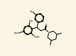 COc1cc(O)c(C(CC(=O)N2CC(C)CC(C)C2)c2cccc(Br)c2)c(OC)c1